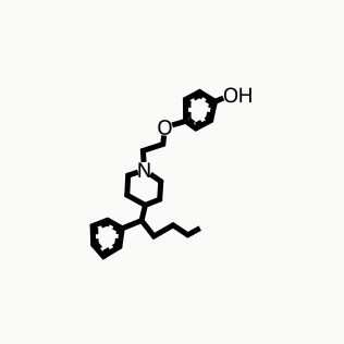 CCCCC(c1ccccc1)C1CCN(CCOc2ccc(O)cc2)CC1